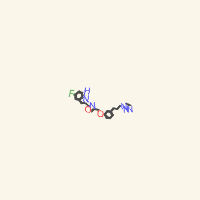 Fc1ccc2[nH]c(-c3nc(COc4cccc(CCCn5ccnn5)c4)co3)cc2c1